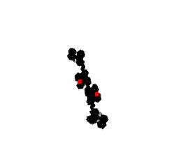 C(=C\c1ccc2c(c1)c1ccccc1n2-c1cccc2ccccc12)/c1ccc2c(c1)C(c1ccccc1)(c1ccccc1)c1cc(-c3ccc4c(c3)C(c3ccccc3)(c3ccccc3)c3cc(/C=C/c5ccc6c(c5)c5ccccc5n6-c5cccc6ccccc56)ccc3-4)ccc1-2